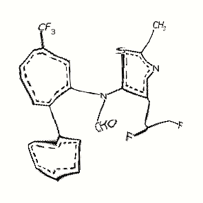 Cc1nc(C(F)F)c(N(C=O)c2cc(C(F)(F)F)ccc2-c2ccccc2)s1